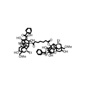 CCN1CC2(COC)C(O)CC(OC)C34C5CC6(O)C(CO)C(O)C(OC(=O)CCCCCC(=O)OC78C(O)C(OC)C9(O)CC(C7C9OC(=O)c7ccccc7)C79C(OC)CC(O)C%10(COC)CN(CC)C7C8C(OC)C%109)(C5C6OC(=O)c5ccccc5)C(C(OC)C23)C14